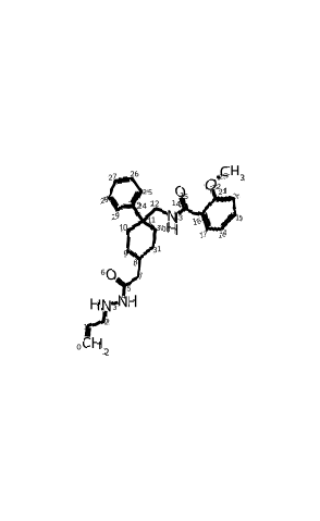 C=CCNNC(=O)CC1CCC(CNC(=O)c2ccccc2OC)(c2ccccc2)CC1